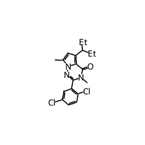 CCC(CC)c1cc(C)n2nc(-c3cc(Cl)ccc3Cl)n(C)c(=O)c12